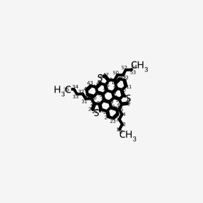 CCCCCCc1csc2c3ccccc3c3c(c12)c1c2ccccc2c2scc(CCCCCC)c2c1c1c2ccccc2c2scc(CCCCCC)c2c31